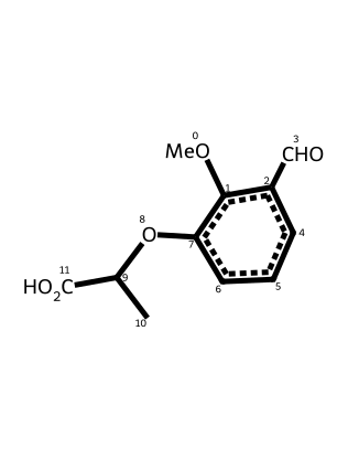 COc1c(C=O)cccc1OC(C)C(=O)O